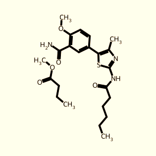 CCCC(=O)OC.CCCCCC(=O)Nc1nc(C)c(-c2ccc(OC)c(C(N)=O)c2)s1